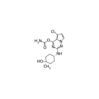 C[C@]1(O)CC[C@H](Nc2nc(OC(N)=O)c3c(Cl)ccn3n2)CC1